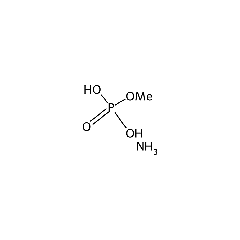 COP(=O)(O)O.N